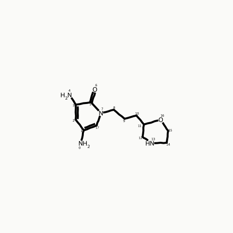 Nc1cc(N)c(=O)n(CCCC2CNCCO2)c1